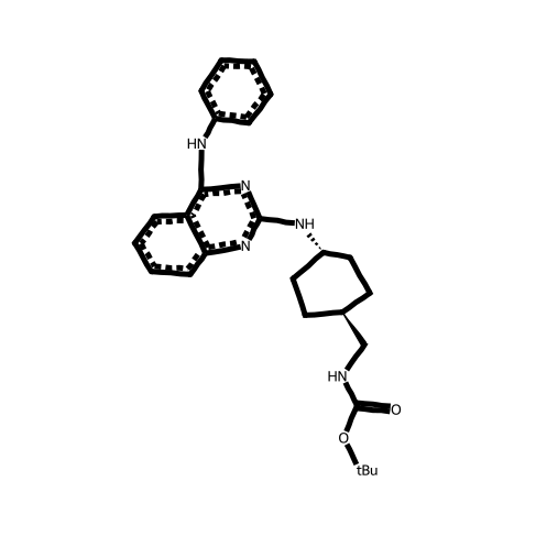 CC(C)(C)OC(=O)NC[C@H]1CC[C@H](Nc2nc(Nc3ccccc3)c3ccccc3n2)CC1